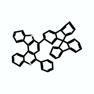 c1ccc(-c2nc3ccccc3c3c2cc(-c2ccc4c(c2)C2(c5ccccc5-c5ccccc52)c2ccccc2-4)c2sc4ccccc4c23)cc1